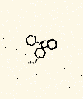 CCCCCCN1CCC(C(=O)N2CCCCC2)(c2ccccc2)CC1